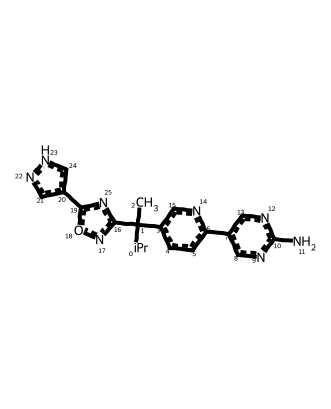 CC(C)C(C)(c1ccc(-c2cnc(N)nc2)nc1)c1noc(-c2cn[nH]c2)n1